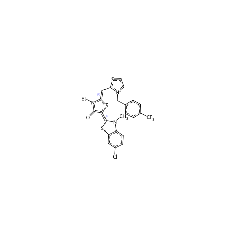 CCn1c(=O)/c(=C2\Sc3cc(Cl)ccc3N2C)s/c1=C\c1scc[n+]1Cc1ccc(C(F)(F)F)cc1